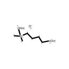 CCCCCCCCCCCC[N+](C)(C)CCCCCC.[Cl-]